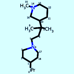 CC(C)C1CCN(CCC(C)(C)C2CCCN(C)C2)CC1